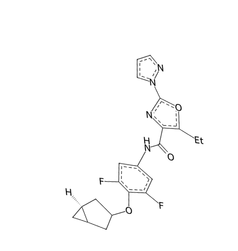 CCc1oc(-n2cccn2)nc1C(=O)Nc1cc(F)c(OC2CC3C[C@H]3C2)c(F)c1